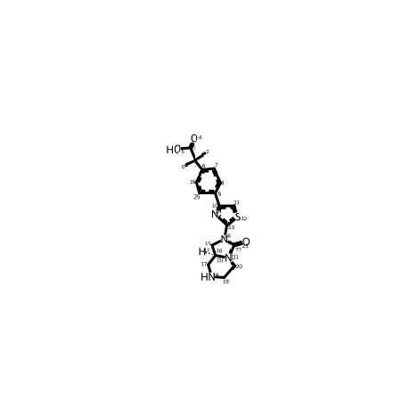 CC(C)(C(=O)O)c1ccc(-c2csc(N3C[C@@H]4CNCCN4C3=O)n2)cc1